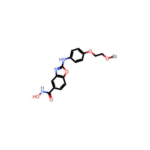 CCOCCOc1ccc(Nc2nc3cc(C(=O)NO)ccc3o2)cc1